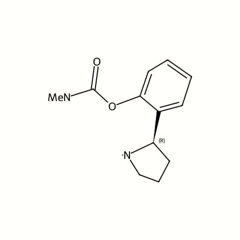 CNC(=O)Oc1ccccc1[C@H]1CCC[N]1